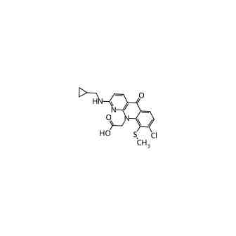 CSc1c(Cl)ccc2c(=O)c3ccc(NCC4CC4)nc3n(CC(=O)O)c12